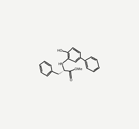 COC(=O)[C@H](Cc1ccccc1)Nc1cc(-c2ccccc2)ccc1O